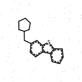 c1ccc2c(c1)sc1cc(CC3CCCCC3)ccc12